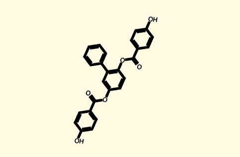 O=C(Oc1ccc(OC(=O)c2ccc(O)cc2)c(-c2ccccc2)c1)c1ccc(O)cc1